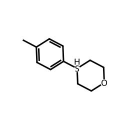 Cc1ccc([SH]2CCOCC2)cc1